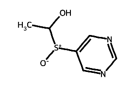 CC(O)[S+]([O-])c1cncnc1